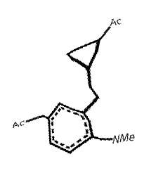 CNc1ccc(C(C)=O)cc1CC1CC1C(C)=O